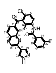 O=C(Nc1ccc(Cl)c(C(=O)c2ccc3ncc(-c4cn[nH]c4)nc3c2)c1F)c1cccc(F)c1